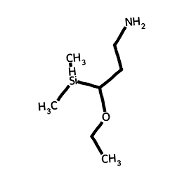 CCOC(CCN)[SiH](C)C